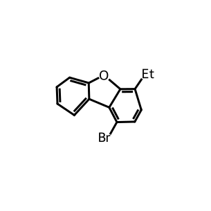 CCc1ccc(Br)c2c1oc1ccccc12